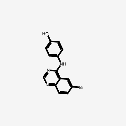 Oc1ccc(Nc2ncnc3ccc(Br)cc23)cc1